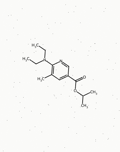 CCN(CC)c1ncc(C(=O)OC(C)C)cc1C